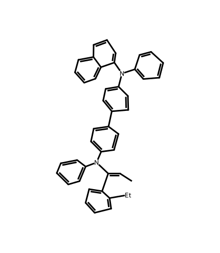 C/C=C(\c1ccccc1CC)N(c1ccccc1)c1ccc(-c2ccc(N(c3ccccc3)c3cccc4ccccc34)cc2)cc1